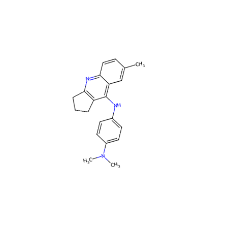 Cc1ccc2nc3c(c(Nc4ccc(N(C)C)cc4)c2c1)CCC3